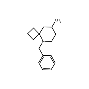 CC1CCN(Cc2ccccc2)C2(CCC2)C1